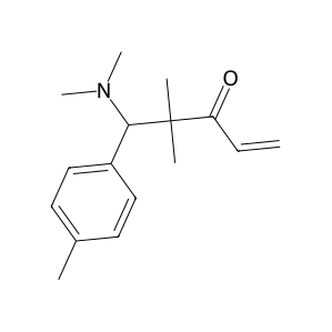 C=CC(=O)C(C)(C)C(c1ccc(C)cc1)N(C)C